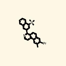 Cc1cc2c(ccc3c(-c4cc([Si](C)(C)C)c5ccccc5c4)nccc32)cc1C(C)C